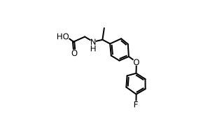 CC(NCC(=O)O)c1ccc(Oc2ccc(F)cc2)cc1